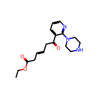 CCOC(=O)C/C=C/CC(=O)c1cccnc1N1CCNCC1